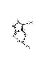 O=Cc1n[nH]c2ccc([N+](=O)[O-])cc12